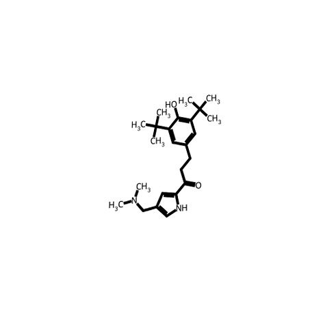 CN(C)Cc1c[nH]c(C(=O)CCc2cc(C(C)(C)C)c(O)c(C(C)(C)C)c2)c1